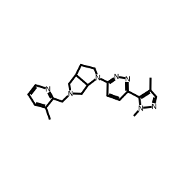 Cc1cccnc1CN1CC2CCN(c3ccc(-c4c(C)cnn4C)nn3)C2C1